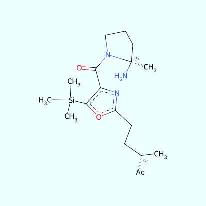 CC(=O)[C@@H](C)CCc1nc(C(=O)N2CCC[C@@]2(C)N)c([Si](C)(C)C)o1